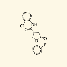 O=C(Nc1ccccc1Cl)C1CC(=O)N(c2ccccc2F)C1